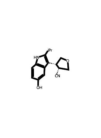 CC(C)c1[nH]c2ccc(O)cc2c1[C@@H]1COC[C@@H]1C#N